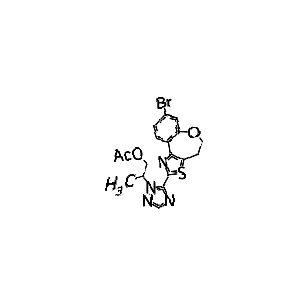 CC(=O)OCC(C)n1ncnc1-c1nc2c(s1)CCOc1cc(Br)ccc1-2